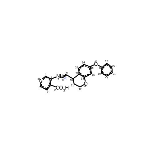 O=C(O)c1ccncc1N/C=C/C1CCOc2cc(Oc3ccccc3)ccc21